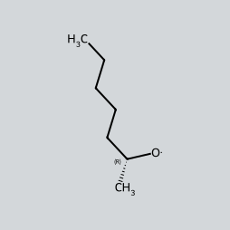 CCCCC[C@@H](C)[O]